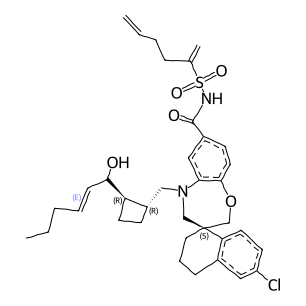 C=CCCC(=C)S(=O)(=O)NC(=O)c1ccc2c(c1)N(C[C@@H]1CC[C@H]1C(O)/C=C/CCC)C[C@@]1(CCCc3cc(Cl)ccc31)CO2